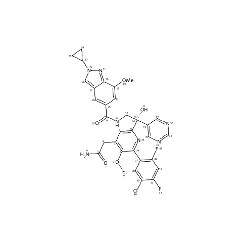 CCOc1c(CC(N)=O)cc([C@@](O)(CNC(=O)c2cc(OC)c3nn(C4CC4)cc3c2)c2cncnc2)nc1-c1cc(Cl)c(F)cc1F